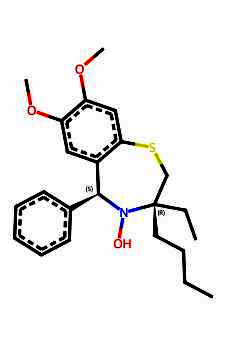 CCCC[C@]1(CC)CSc2cc(OC)c(OC)cc2[C@H](c2ccccc2)N1O